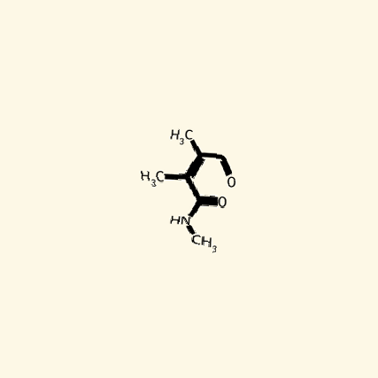 CNC(=O)/C(C)=C(/C)C=O